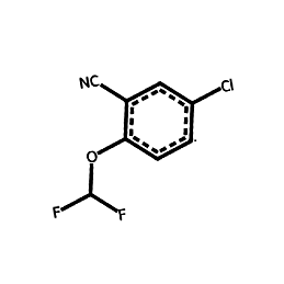 N#Cc1cc(Cl)[c]cc1OC(F)F